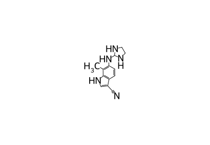 Cc1c(NC2NCCN2)ccc2c(C#N)c[nH]c12